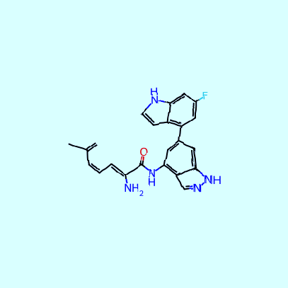 C=C(C)/C=C\C=C(/N)C(=O)Nc1cc(-c2cc(F)cc3[nH]ccc23)cc2[nH]ncc12